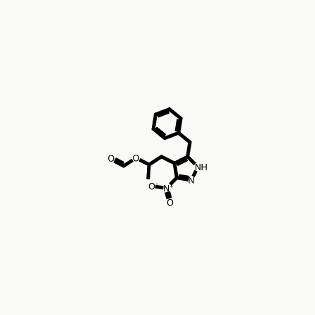 CC(Cc1c([N+](=O)[O-])n[nH]c1Cc1ccccc1)OC=O